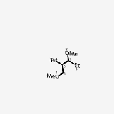 CCC(OC)[C](COC)C(C)C